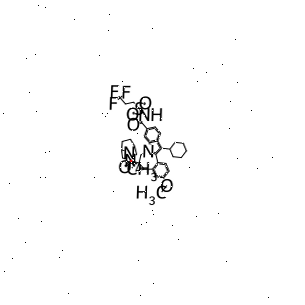 COc1ccc2c(c1)C1CC1(C(=O)N1C3CCC1CN(C)C3)Cn1c-2c(C2CCCCC2)c2ccc(C(=O)NS(=O)(=O)CCC(F)(F)F)cc21